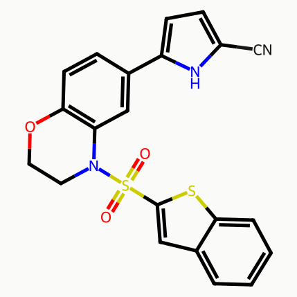 N#Cc1ccc(-c2ccc3c(c2)N(S(=O)(=O)c2cc4ccccc4s2)CCO3)[nH]1